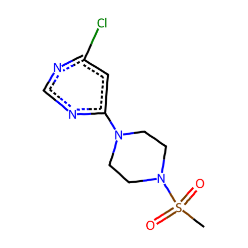 CS(=O)(=O)N1CCN(c2cc(Cl)ncn2)CC1